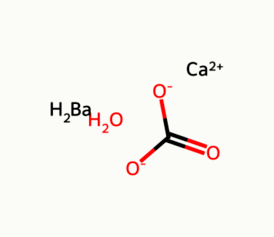 O.O=C([O-])[O-].[BaH2].[Ca+2]